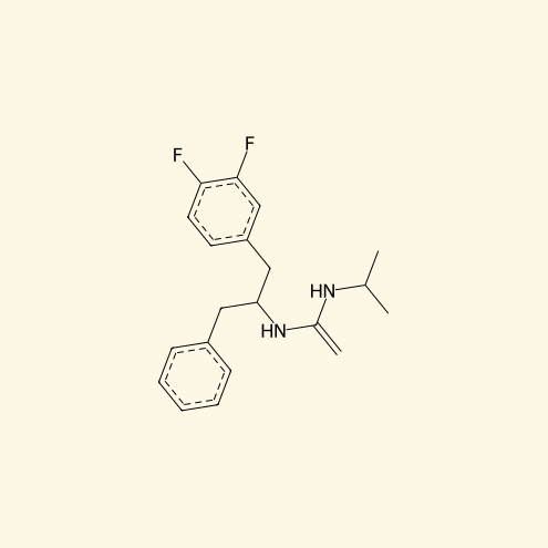 C=C(NC(C)C)NC(Cc1ccccc1)Cc1ccc(F)c(F)c1